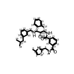 Cc1csc(CN(C)C(=O)c2cccc(C(=O)N[C@@H](Cc3ccccc3)[C@H](O)CNCc3cccc(CC(C)C)c3)c2)n1